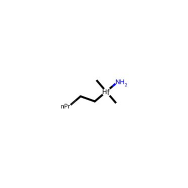 CCCC[CH2][Hf]([CH3])([CH3])[NH2]